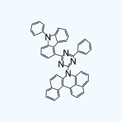 c1ccc(-c2nc(-c3cccc4c3c3ccccc3n4-c3ccccc3)nc(N3c4ccc5ccccc5c4-c4cccc5cccc3c45)n2)cc1